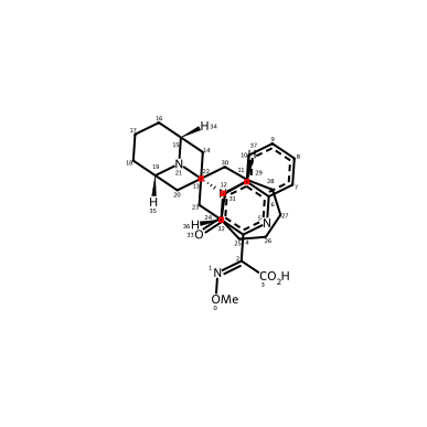 CO/N=C(\C(=O)O)c1nc2ccccc2n([C@H]2C[C@H]3CCC[C@@H](C2)N3C2C[C@H]3CCCC[C@@H](C2)C3)c1=O